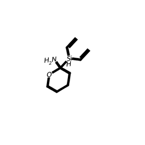 C=C[SiH](C=C)C1(N)CCCCO1